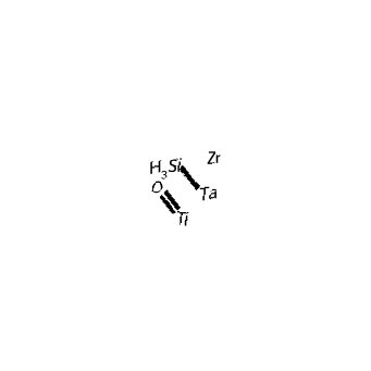 [O]=[Ti].[SiH3][Ta].[Zr]